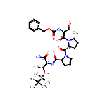 C[C@@H](O)[C@H](NC(=O)OCc1ccccc1)C(=O)N1CCC[C@H]1C(=O)N1CCC[C@H]1C(=O)N[C@H](C(N)=O)[C@@H](C)O[Si](C)(C)C(C)(C)C